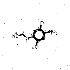 N#CCOc1cc(F)c([N+](=O)[O-])cc1Cl